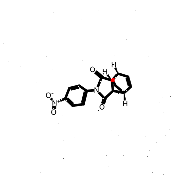 O=C1C2[C@H]3C=C[C@H](CC3)[C@H]2C(=O)N1c1ccc([N+](=O)[O-])cc1